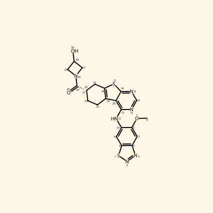 COc1cc2nnsc2cc1Nc1ncnc2sc3c(c12)CC[C@H](C(=O)N1CC(O)C1)C3